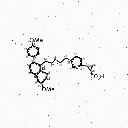 COc1ccc(-c2ccc3cc(OC)ccc3c2CCCCCc2ccc(C3CC3C(=O)O)cc2)cc1